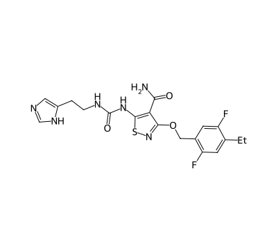 CCc1cc(F)c(COc2nsc(NC(=O)NCCc3cnc[nH]3)c2C(N)=O)cc1F